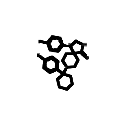 O=C1NC[C@H](c2ccc(F)cc2)C12CCN(C1(c3ccc(F)cc3)CCCCC1)CC2